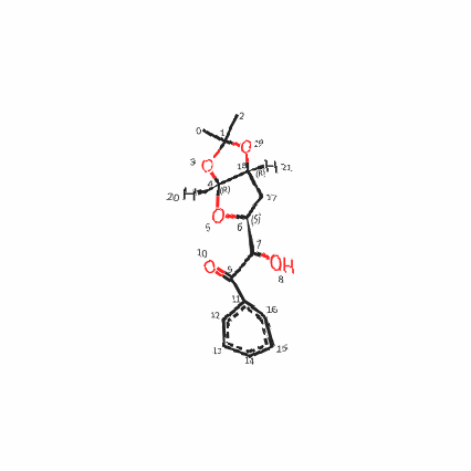 CC1(C)O[C@H]2O[C@H](C(O)C(=O)c3ccccc3)C[C@H]2O1